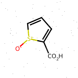 O=C(O)c1ccc[s+]1[O-]